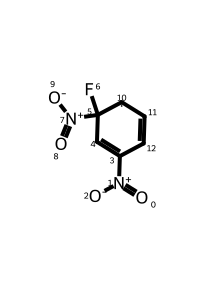 O=[N+]([O-])C1=CC(F)([N+](=O)[O-])[CH]C=C1